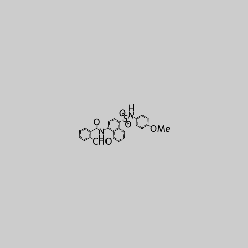 COc1ccc(NS(=O)(=O)c2ccc(NC(=O)c3ccccc3C=O)c3ccccc23)cc1